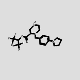 O=C(OC(C(F)(F)F)C(F)(F)F)C1CNCCN1Cc1ccc(N2CCCC2)cc1